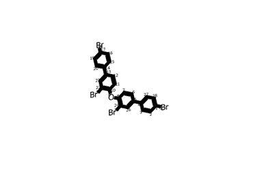 Brc1ccc(-c2ccc(Oc3ccc(-c4ccc(Br)cc4)cc3Br)c(Br)c2)cc1